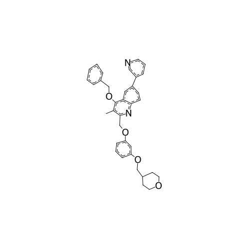 Cc1c(COc2cccc(OCC3CCOCC3)c2)nc2ccc(-c3cccnc3)cc2c1OCc1ccccc1